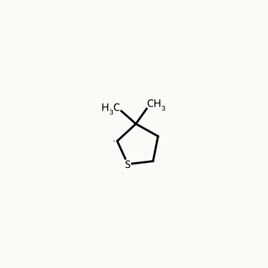 CC1(C)[CH]SCC1